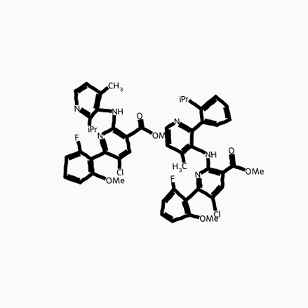 COC(=O)c1cc(Cl)c(-c2c(F)cccc2OC)nc1Nc1c(C)ccnc1-c1ccccc1C(C)C.COC(=O)c1cc(Cl)c(-c2c(F)cccc2OC)nc1Nc1c(C)ccnc1C(C)C